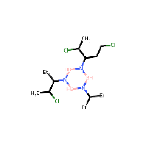 CCC(CC)N1BN(C(CC)C(C)Cl)BN(C(CCCl)C(C)Cl)B1